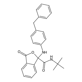 CC(C)(C)NC(=O)C1(Nc2ccc(Cc3ccccc3)cc2)OC(=O)c2ccccc21